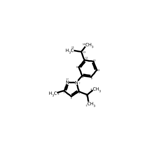 Cc1cc(C(C)C)n(-c2cccc(C(C)C)c2)n1